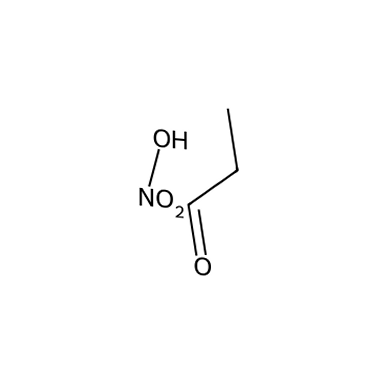 CCC=O.O=[N+]([O-])O